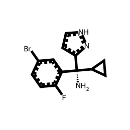 N[C@@](c1cc[nH]n1)(c1cc(Br)ccc1F)C1CC1